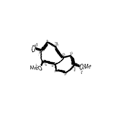 COc1ccc2c(OC)c(Cl)ccc2c1